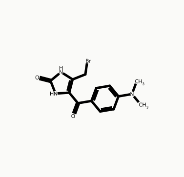 CN(C)c1ccc(C(=O)c2[nH]c(=O)[nH]c2CBr)cc1